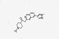 Cn1cc(-c2ccc3cnc(CC(=O)C4CCN(C5CC5)CC4)cc3c2)cn1